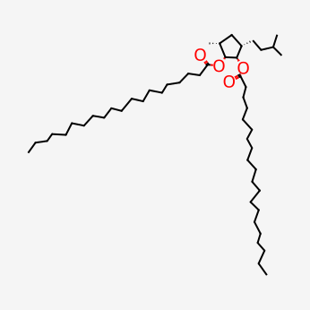 CCCCCCCCCCCCCCCCCCCC(=O)O[C@@H]1[C@@H](CCC(C)C)C[C@@H](C)[C@@H]1OC(=O)CCCCCCCCCCCCCCCCCCC